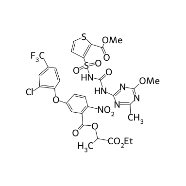 CCOC(=O)C(C)OC(=O)c1cc(Oc2ccc(C(F)(F)F)cc2Cl)ccc1[N+](=O)[O-].COC(=O)c1sccc1S(=O)(=O)NC(=O)Nc1nc(C)nc(OC)n1